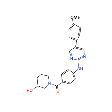 COc1ccc(-c2cnc(Nc3ccc(C(=O)N4CCCC(O)C4)cc3)nc2)cc1